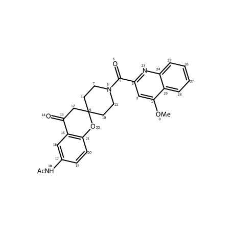 COc1cc(C(=O)N2CCC3(CC2)CC(=O)c2cc(NC(C)=O)ccc2O3)nc2ccccc12